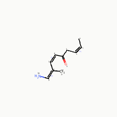 C/C=C\CC(=O)/C=C\C(=C/N)C(F)(F)F